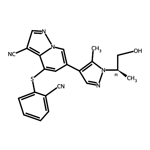 Cc1c(-c2cc(Sc3ccccc3C#N)c3c(C#N)cnn3c2)cnn1[C@H](C)CO